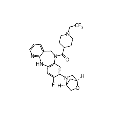 O=C(C1CCN(CC(F)(F)F)CC1)N1Cc2cccnc2Nc2cc(F)c(N3C[C@@H]4C[C@H]3CO4)cc21